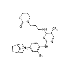 CCc1cc(N2CC3CCC(C2)N3C)ccc1Nc1ncc(C(F)(F)F)c(NCCCN2CCCOC2=O)n1